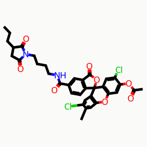 CCCC1CC(=O)N(CCCCNC(=O)c2ccc3c(c2)C(=O)OC32c3cc(Cl)c(C)cc3Oc3cc(OC(C)=O)c(Cl)cc32)C1=O